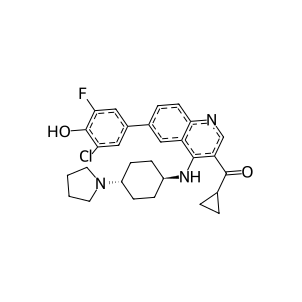 O=C(c1cnc2ccc(-c3cc(F)c(O)c(Cl)c3)cc2c1N[C@H]1CC[C@H](N2CCCC2)CC1)C1CC1